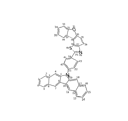 c1ccc2cc3c(cc2c1)c1cc2ccccc2cc1n3-c1ccc(-c2nc3ccc4oc5ccccc5c4c3s2)cc1